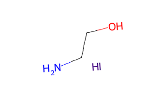 I.NCCO